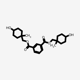 CC1(COC(=O)c2cccc(C(=O)OCC3(C)CCC(O)CC3)c2)CCC(O)CC1